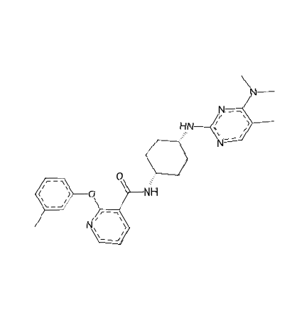 Cc1cccc(Oc2ncccc2C(=O)N[C@H]2CC[C@@H](Nc3ncc(C)c(N(C)C)n3)CC2)c1